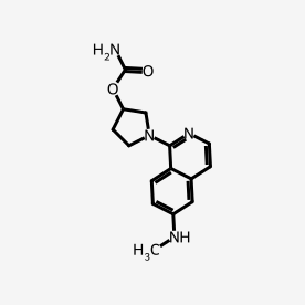 CNc1ccc2c(N3CCC(OC(N)=O)C3)nccc2c1